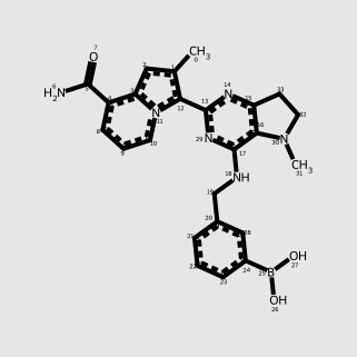 Cc1cc2c(C(N)=O)cccn2c1-c1nc2c(c(NCc3cccc(B(O)O)c3)n1)N(C)CC2